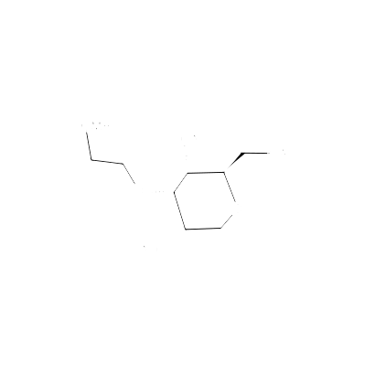 COCCO[C@@H]1[C@H](OC(C)=O)[C@@H](COC(C)=O)OC[C@@H]1OC(C)=O